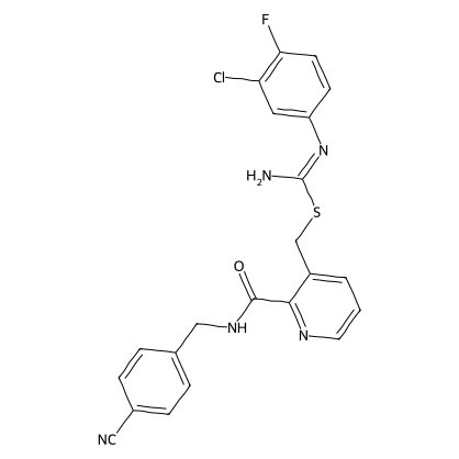 N#Cc1ccc(CNC(=O)c2ncccc2CS/C(N)=N/c2ccc(F)c(Cl)c2)cc1